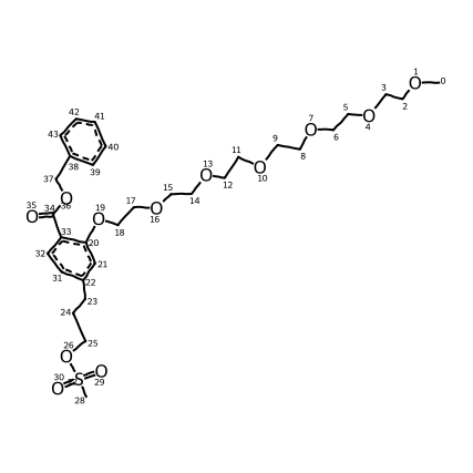 COCCOCCOCCOCCOCCOCCOc1cc(CCCOS(C)(=O)=O)ccc1C(=O)OCc1ccccc1